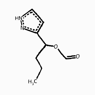 CCCC(OC=O)c1cc[nH]n1